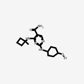 CCOC1CCC(Nc2ncc(C(N)=O)c(NC3(C)CCC3)n2)CC1